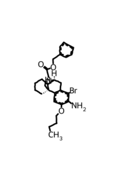 CCCCOc1cc2c(c(Br)c1N)C[C@H]1[C@H]3CCCC[C@@]23CCN1C(=O)OCc1ccccc1